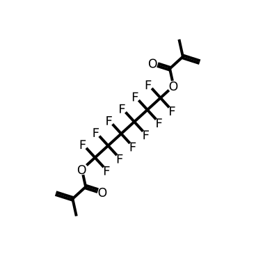 C=C(C)C(=O)OC(F)(F)C(F)(F)C(F)(F)C(F)(F)C(F)(F)C(F)(F)OC(=O)C(=C)C